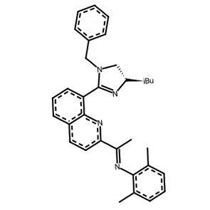 CC[C@H](C)[C@H]1CN(Cc2ccccc2)C(c2cccc3ccc(/C(C)=N/c4c(C)cccc4C)nc23)=N1